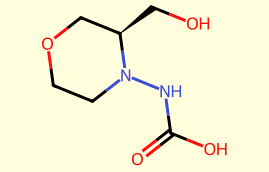 O=C(O)NN1CCOC[C@H]1CO